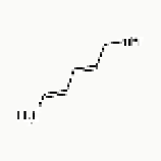 C/C=C/C=C/CCCC